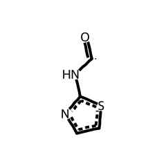 O=[C]Nc1nccs1